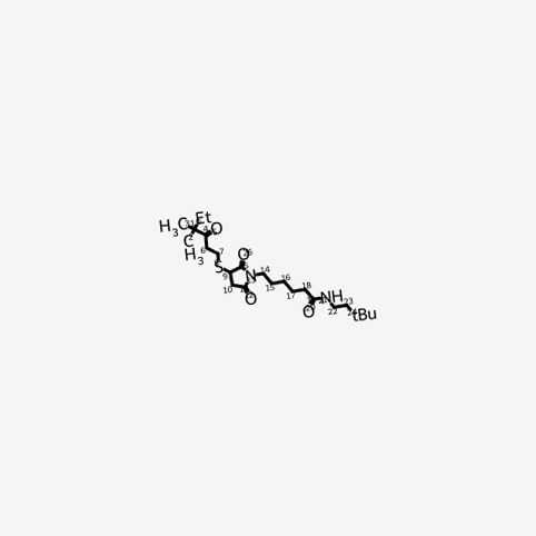 CCC(C)(C)C(=O)CCSC1CC(=O)N(CCCCCC(=O)NCCC(C)(C)C)C1=O